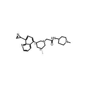 C[C@@H]1C[C@@H](c2ccc(C3C=N3)c3ncccc23)CN(CC(=O)NC2CCN(C)CC2)C1